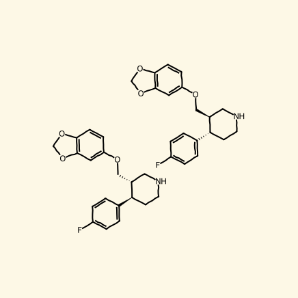 Fc1ccc([C@@H]2CCNC[C@H]2COc2ccc3c(c2)OCO3)cc1.Fc1ccc([C@H]2CCNC[C@@H]2COc2ccc3c(c2)OCO3)cc1